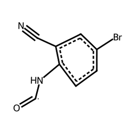 N#Cc1cc(Br)ccc1N[C]=O